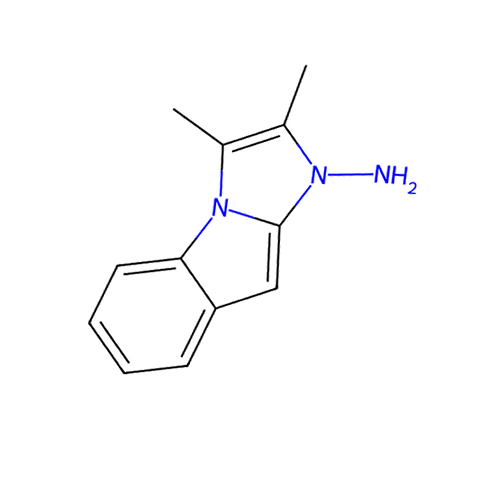 Cc1c(C)n2c3ccccc3cc2n1N